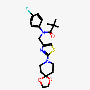 CC(C)(C)C(=O)N(Cc1csc(N2CCC3(CC2)OCCO3)n1)c1ccc(F)cc1